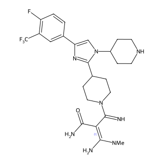 CN/C(N)=C(\C(=N)N1CCC(c2nc(-c3ccc(F)c(C(F)(F)F)c3)cn2C2CCNCC2)CC1)C(N)=O